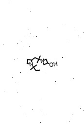 CCC(C)(C)N1CCC1CC(C)(C)N1CC(O)C1